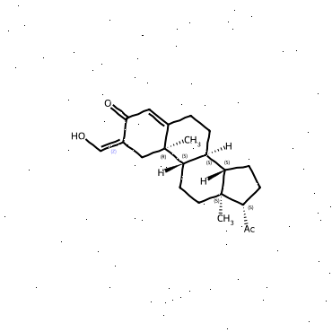 CC(=O)[C@H]1CC[C@H]2[C@@H]3CCC4=CC(=O)/C(=C\O)C[C@]4(C)[C@H]3CC[C@]12C